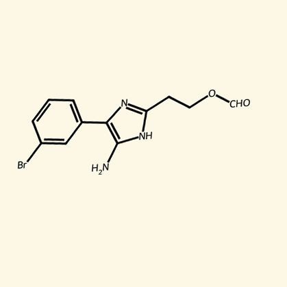 Nc1[nH]c(CCOC=O)nc1-c1cccc(Br)c1